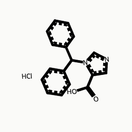 Cl.O=C(O)c1cncn1C(c1ccccc1)c1ccccc1